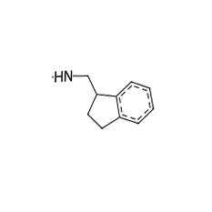 [NH]CC1CCc2ccccc21